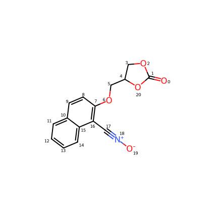 O=C1OCC(COc2ccc3ccccc3c2C#[N+][O-])O1